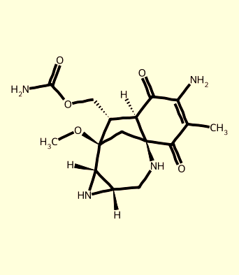 CO[C@@]12C[C@@]3(NC[C@@H]4N[C@@H]41)C(=O)C(C)=C(N)C(=O)[C@@H]3[C@H]2COC(N)=O